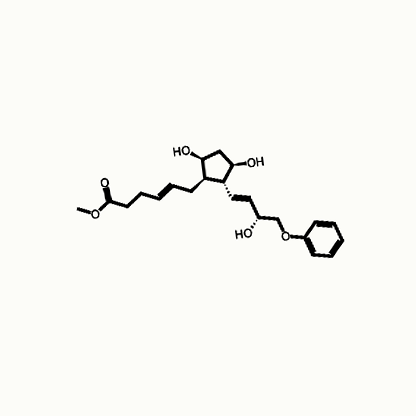 COC(=O)CC/C=C/C[C@@H]1[C@@H](/C=C/[C@@H](O)COc2ccccc2)[C@H](O)C[C@@H]1O